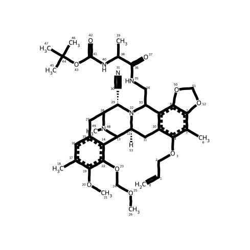 C=CCOc1c(C)c2c(c3c1C[C@H]1C4c5c(cc(C)c(OC)c5OCOC)CC([C@H](C#N)N1C3CNC(=O)C(C)NC(=O)OC(C)(C)C)N4C)OCO2